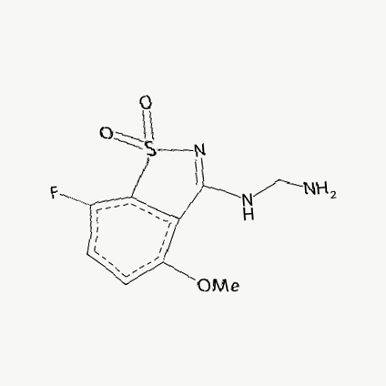 COc1ccc(F)c2c1C(NCN)=NS2(=O)=O